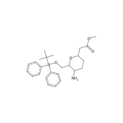 COC(=O)CC1CCC(N)C(CO[Si](c2ccccc2)(c2ccccc2)C(C)(C)C)O1